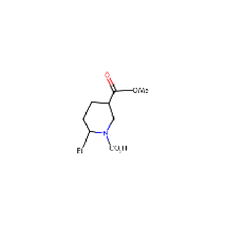 CCC1CCC(C(=O)OC)CN1C(=O)O